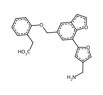 NCc1coc(-c2cc(COc3ccccc3CC(=O)O)cc3ccoc23)c1